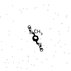 CC(N=C=O)C1CC2CCC1CC2CN=C=O